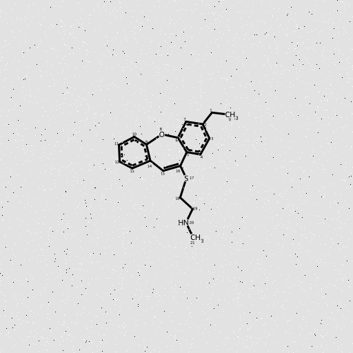 CCc1ccc2c(c1)Oc1ccccc1C=C2SCCNC